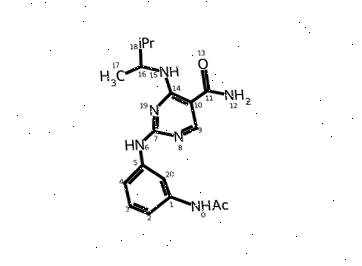 CC(=O)Nc1cccc(Nc2ncc(C(N)=O)c(NC(C)C(C)C)n2)c1